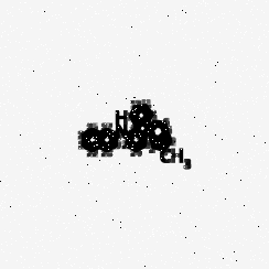 CC1C=C2CC(CCC23c2ccccc2-c2c(Nc4ccc5ccccc5c4)cccc23)C1